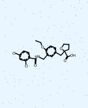 CCOc1ccc(CC2(C(=O)O)CCCO2)cc1CNC(=O)c1ccc(Cl)cc1Cl